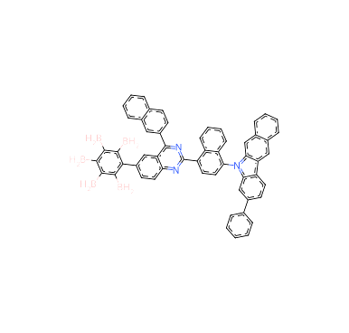 Bc1c(B)c(B)c(-c2ccc3nc(-c4ccc(-n5c6cc(-c7ccccc7)ccc6c6cc7ccccc7cc65)c5ccccc45)nc(-c4ccc5ccccc5c4)c3c2)c(B)c1B